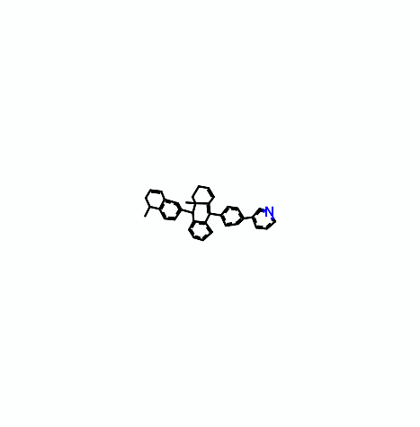 CC1CC=Cc2cc(C3c4ccccc4C(c4ccc(-c5cccnc5)cc4)=C4C=CCCC43C)ccc21